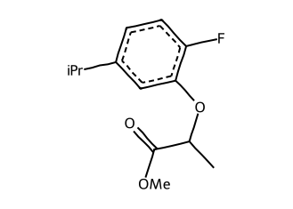 COC(=O)C(C)Oc1cc(C(C)C)ccc1F